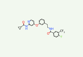 O=C(NCCc1cccc(Oc2ccnc(NC(=O)C3CC3)c2)c1)c1ccc(F)c(C(F)(F)F)c1